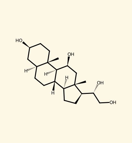 C[C@]12CC[C@H](O)C[C@@H]1CC[C@@H]1[C@@H]2[C@@H](O)C[C@]2(C)[C@@H]([C@H](O)CO)CC[C@@H]12